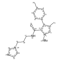 CCCCn1cc(C)c(-c2ccc(C)cc2)c1C(=O)NCCCn1ccnc1